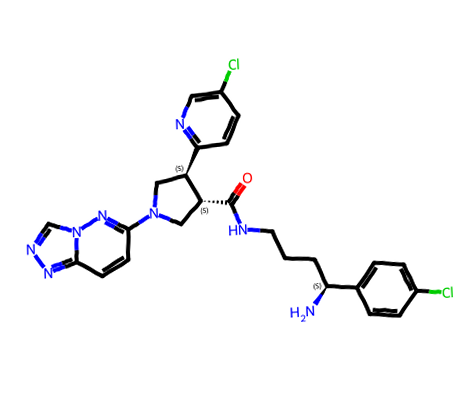 N[C@@H](CCCNC(=O)[C@@H]1CN(c2ccc3nncn3n2)C[C@H]1c1ccc(Cl)cn1)c1ccc(Cl)cc1